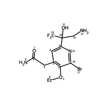 CCOc1c(CC(N)=O)cc(C(O)(CN)C(F)(F)F)nc1Br